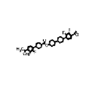 CC(O)c1ccc(C2CCC(C(=O)OC3CCC(C4CCC(c5ccc(C6CO6)c(F)c5F)CC4)CC3)CC2)c(F)c1F